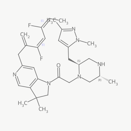 C=C(Cc1cc2c(cn1)C(C)(C)CN2C(=O)CN1C[C@@H](C)NC[C@@H]1Cc1cc(C)nn1C)/C(F)=C\C(F)=C/C